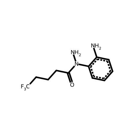 Nc1ccccc1N(N)C(=O)CCCC(F)(F)F